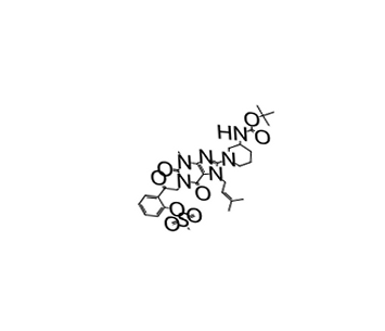 CC(C)=CCn1c(N2CCCC(NC(=O)OC(C)(C)C)C2)nc2c1c(=O)n(CC(=O)c1ccccc1OS(C)(=O)=O)c(=O)n2C